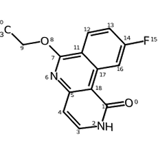 O=c1[nH]ccc2nc(OCC(F)(F)F)c3ccc(F)cc3c12